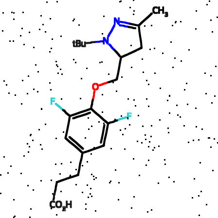 CC1=NN(C(C)(C)C)C(COc2c(F)cc(CCC(=O)O)cc2F)C1